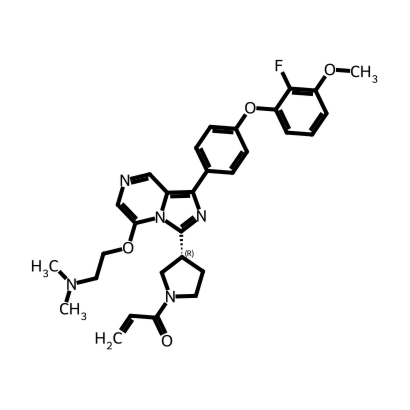 C=CC(=O)N1CC[C@@H](c2nc(-c3ccc(Oc4cccc(OC)c4F)cc3)c3cncc(OCCN(C)C)n23)C1